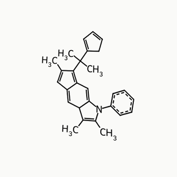 CC1=CC2=CC3C(=CC2=C1C(C)(C)C1=CC=CC1)N(c1ccccc1)C(C)=C3C